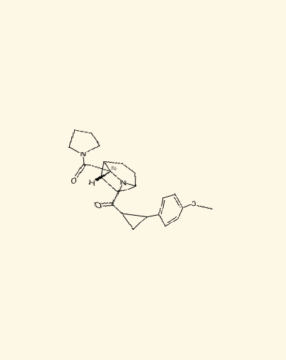 COc1ccc(C2CC2C(=O)N2C3CCC(CC3)[C@H]2C(=O)N2CCCC2)cc1